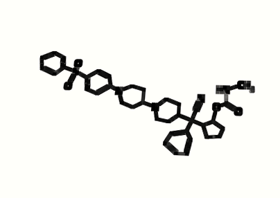 CNC(=O)OC1CCCC1C(C#N)(c1ccccc1)C1CCN(C2CCN(c3ccc(S(=O)(=O)c4ccccc4)cc3)CC2)CC1